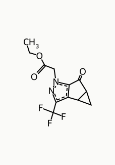 CCOC(=O)Cn1nc(C(F)(F)F)c2c1C(=O)C1CC21